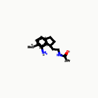 CCCC(=O)NCCC1CCc2ccc(OC)c(N)c21